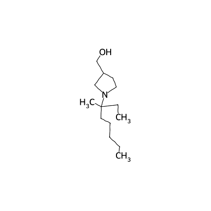 CCCCCC(C)(CC)N1CCC(CO)C1